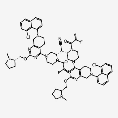 C=C(F)C(=O)N1CCN(c2nc(OC[C@@H]3CCCN3C)nc3c2CCN(c2cccc4cccc(Cl)c24)C3)C[C@@H]1C(C#N)[C@H]1CN(c2nc(OC[C@@H]3CCCN3C)nc3c2CCN(c2cccc4cccc(Cl)c24)C3)CCN1C(=O)C(=C)F